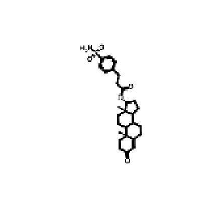 C[C@]12CCC(=O)C=C1CCC1C2CC[C@@]2(C)C1CC[C@@H]2OC(=O)CCc1ccc(S(N)(=O)=O)cc1